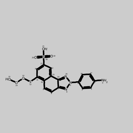 Nc1ccc(-n2nc3ccc4c(SOOO)cc(S(=O)(=O)O)cc4c3n2)cc1